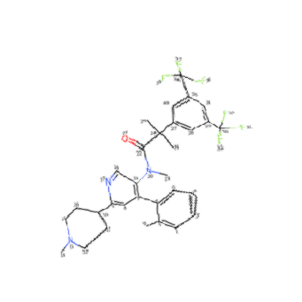 Cc1ccccc1-c1cc(C2CCN(C)CC2)ncc1N(C)C(=O)C(C)(C)c1cc(C(F)(F)F)cc(C(F)(F)F)c1